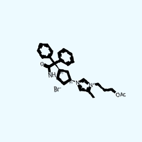 CC(=O)OCCC[n+]1cn([C@@H]2CC[C@@H](C(C(N)=O)(c3ccccc3)c3ccccc3)C2)cc1C.[Br-]